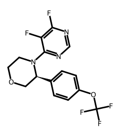 Fc1ncnc(N2CCOC[C@@H]2c2ccc(OC(F)(F)F)cc2)c1F